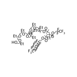 CCC(CO)OCC(CC)OCC(CC)OCC(CC)OCC(CC)OCC(CC)OCC(CC)OCC(CC)OC(C)COC(=O)C(C)(C)CC(C)(CC(C)(CC)C(=O)OCCC(F)(F)C(F)(F)C(F)(F)C(F)(F)C(F)(F)C(F)(F)F)C(=O)OCCC(F)(F)C(F)(F)F